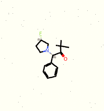 CC(C)(C)C(=O)[C@H](c1ccccc1)N1CC[C@H](F)C1